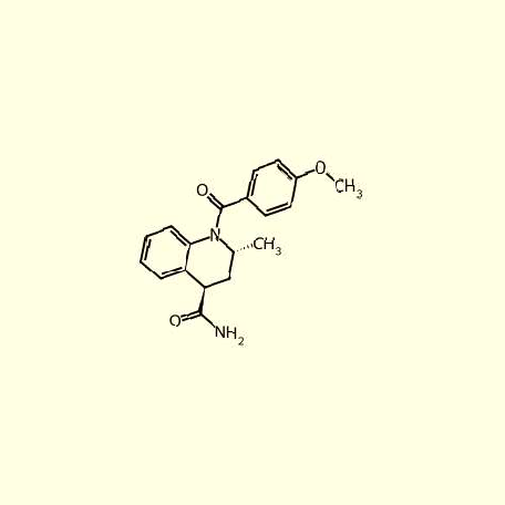 COc1ccc(C(=O)N2c3ccccc3[C@H](C(N)=O)C[C@H]2C)cc1